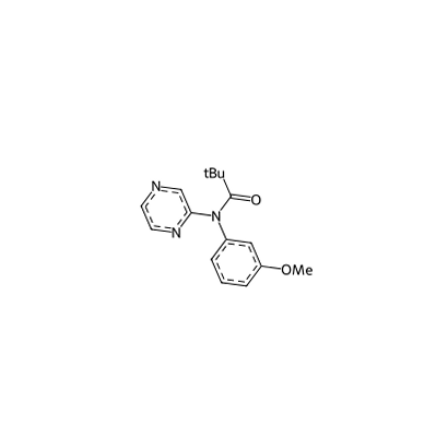 COc1cccc(N(C(=O)C(C)(C)C)c2cnccn2)c1